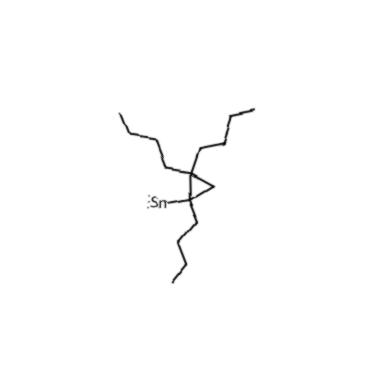 CCCC[C]1([Sn])CC1(CCCC)CCCC